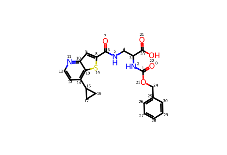 O=C(NC(CNC(=O)c1cc2nccc(C3CC3)c2s1)C(=O)O)OCc1ccccc1